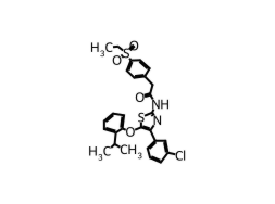 CCS(=O)(=O)c1ccc(CC(=O)Nc2nc(-c3cccc(Cl)c3)c(Oc3ccccc3C(C)C)s2)cc1